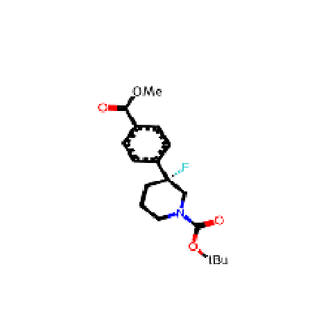 COC(=O)c1ccc([C@]2(F)CCCN(C(=O)OC(C)(C)C)C2)cc1